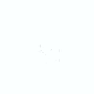 O=C(O)[C@H](CS)[NH][Hg][c]1ccccc1